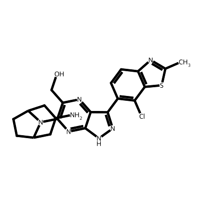 Cc1nc2ccc(-c3n[nH]c4nc(N5C6CCC5CC(N)C6)c(CO)nc34)c(Cl)c2s1